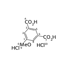 COc1cc(C(=O)O)cc(C(=O)O)c1.Cl.Cl